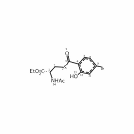 CCOC(=O)[C@H](CSC(=O)c1ccc(C)cc1O)NC(C)=O